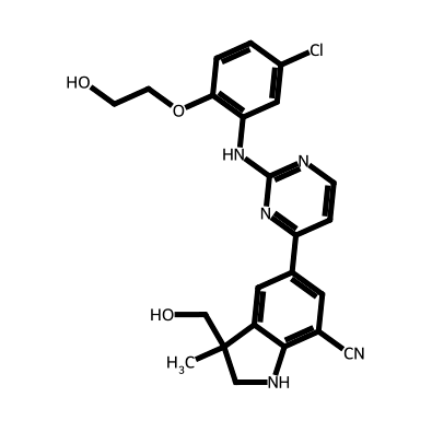 CC1(CO)CNc2c(C#N)cc(-c3ccnc(Nc4cc(Cl)ccc4OCCO)n3)cc21